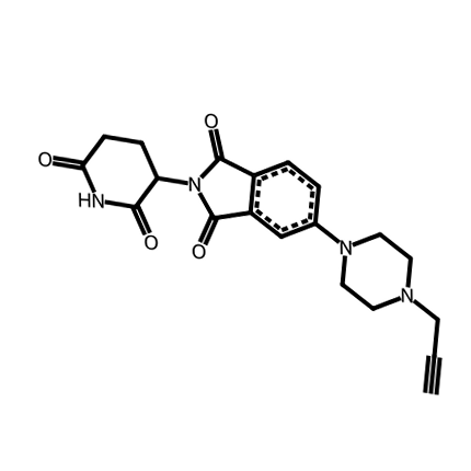 C#CCN1CCN(c2ccc3c(c2)C(=O)N(C2CCC(=O)NC2=O)C3=O)CC1